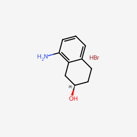 Br.Nc1cccc2c1C[C@H](O)CC2